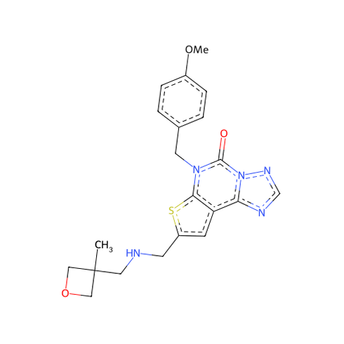 COc1ccc(Cn2c(=O)n3ncnc3c3cc(CNCC4(C)COC4)sc32)cc1